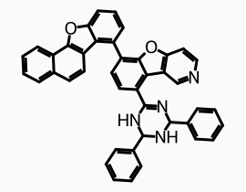 c1ccc(C2N=C(c3ccc(-c4cccc5oc6c7ccccc7ccc6c45)c4oc5ccncc5c34)NC(c3ccccc3)N2)cc1